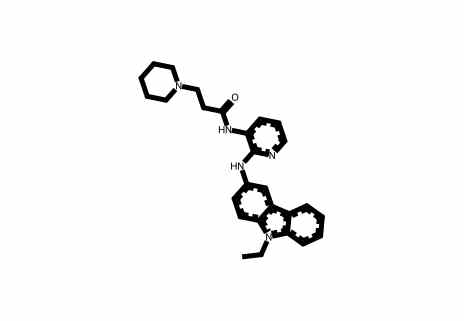 CCn1c2ccccc2c2cc(Nc3ncccc3NC(=O)CCN3CCCCC3)ccc21